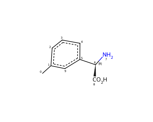 Cc1cccc([C@@H](N)C(=O)O)c1